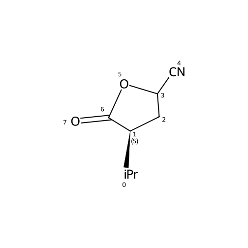 CC(C)[C@@H]1CC(C#N)OC1=O